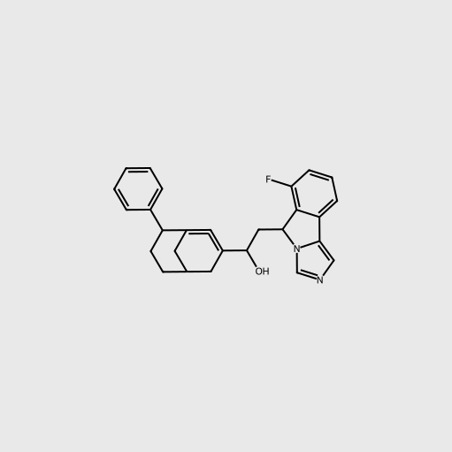 OC(CC1c2c(F)cccc2-c2cncn21)C1=C=C2CC(CCC2c2ccccc2)C1